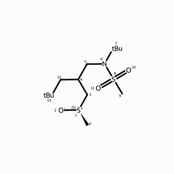 C[S@@+]([O-])CC(CN(C(C)(C)C)S(C)(=O)=O)CC(C)(C)C